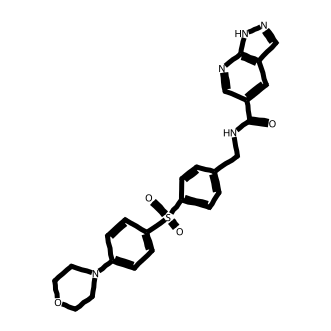 O=C(NCc1ccc(S(=O)(=O)c2ccc(N3CCOCC3)cc2)cc1)c1cnc2[nH]ncc2c1